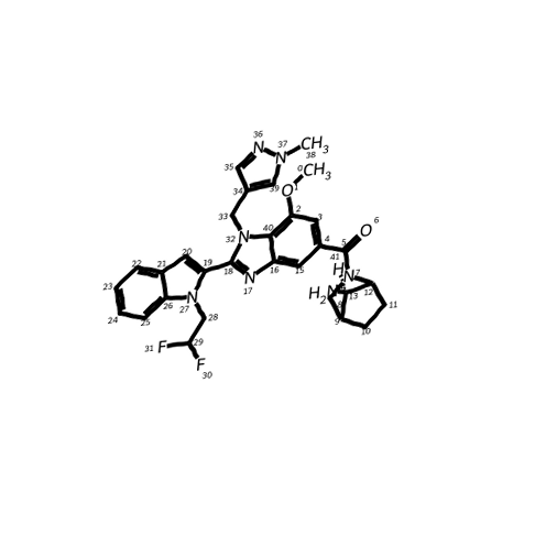 COc1cc(C(=O)N2CC3CCC2[C@@H]3N)cc2nc(-c3cc4ccccc4n3CC(F)F)n(Cc3cnn(C)c3)c12